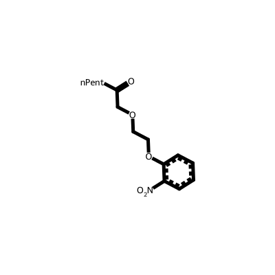 CCCCCC(=O)COCCOc1ccccc1[N+](=O)[O-]